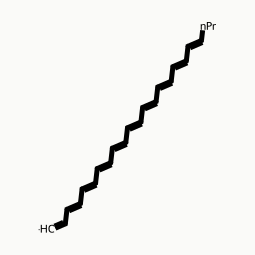 [CH]=CC=CC=CC=CC=CC=CC=CC=CC=CC=CCCC